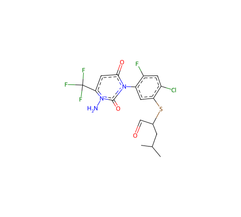 CC(C)CC(C=O)Sc1cc(-n2c(=O)cc(C(F)(F)F)n(N)c2=O)c(F)cc1Cl